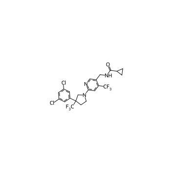 O=C(NCc1cnc(N2CCC(c3cc(Cl)cc(Cl)c3)(C(F)(F)F)C2)cc1C(F)(F)F)C1CC1